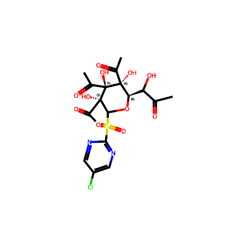 CC(=O)C(O)[C@H]1OC(S(=O)(=O)c2ncc(Cl)cn2)[C@@](O)(C(C)=O)[C@](O)(C(C)=O)[C@@]1(O)C(C)=O